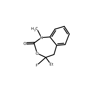 CCC1(F)Cc2ccccc2N(C)C(=O)O1